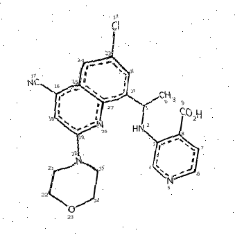 CC(Nc1cnccc1C(=O)O)c1cc(Cl)cc2c(C#N)cc(N3CCOCC3)nc12